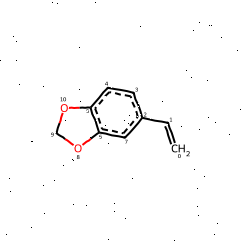 C=Cc1ccc2c(c1)OCO2